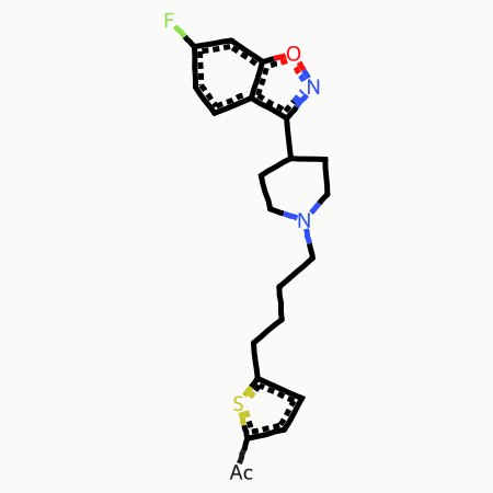 CC(=O)c1ccc(CCCCN2CCC(c3noc4cc(F)ccc34)CC2)s1